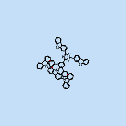 c1ccc(-c2cc(-c3nc(-c4ccc5c(c4)oc4ccccc45)nc(-c4ccc5c(c4)oc4ccccc45)n3)cc(-c3ccccc3)c2-n2c3cc(-n4c5ccccc5c5ccccc54)ccc3c3ccc(-n4c5ccccc5c5ccccc54)cc32)cc1